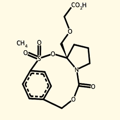 C.O=C(O)COC[C@@]12CCCN1C(=O)OCc1ccc(cc1)S(=O)(=O)O2